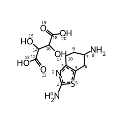 Nc1nc2c(s1)CC(N)CC2.O=C(O)C(O)C(O)C(=O)O